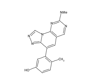 CNc1ncc2cc(-c3cc(O)ccc3C)c3nncn3c2n1